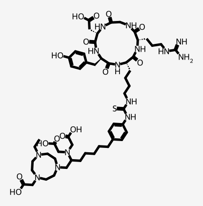 CCN1CCN(CC(=O)O)CCN(CC(CCCCCc2ccc(NC(=S)NCCCC[C@@H]3NC(=O)[C@@H](Cc4ccc(O)cc4)NC(=O)[C@H](CC(=O)O)NC(=O)CNC(=O)[C@H](CCCNC(=N)N)NC3=O)cc2)N(CC(=O)O)CC(=O)O)CC1